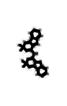 CC1(C)C=C(NC2=CC(C)(C)C=C3C2=Cc2ccccc23)C2=Cc3ccccc3C2=C1